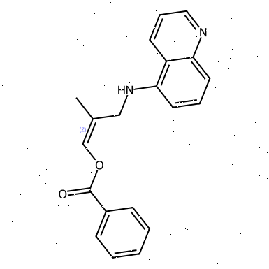 C/C(=C/OC(=O)c1ccccc1)CNc1cccc2ncccc12